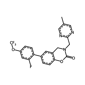 Cc1cnc(CN2Cc3cc(-c4ccc(OC(F)(F)F)cc4F)ccc3OC2=O)nc1